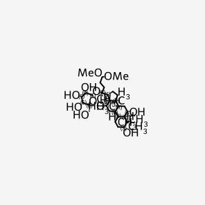 COC(CC[C@](C)(O[C@@H]1O[C@H](CO)[C@@H](O)[C@H](O)[C@H]1O)[C@H]1CC[C@]2(C)[C@@H]1[C@H](O)C[C@@H]1[C@@]3(C)CC[C@H](O)C(C)(C)[C@@H]3[C@@H](O)C[C@]12C)OC